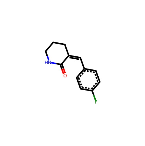 O=C1NCCCC1=Cc1ccc(F)cc1